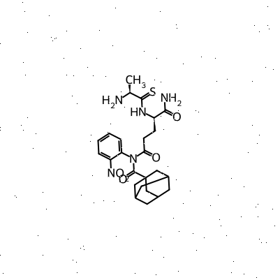 C[C@H](N)C(=S)N[C@H](CCC(=O)N(C(=O)C12CC3CC(CC(C3)C1)C2)c1ccccc1[N+](=O)[O-])C(N)=O